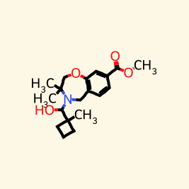 COC(=O)c1ccc2c(c1)OCC(C)(C)N(C(O)C1(C)CCC1)C2